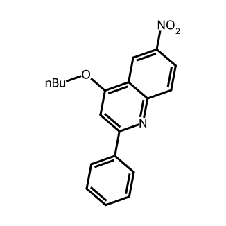 CCCCOc1cc(-c2ccccc2)nc2ccc([N+](=O)[O-])cc12